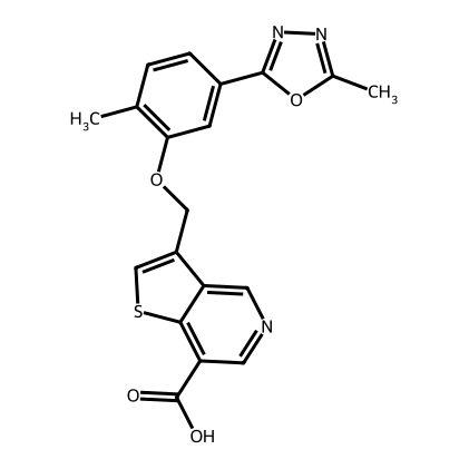 Cc1nnc(-c2ccc(C)c(OCc3csc4c(C(=O)O)cncc34)c2)o1